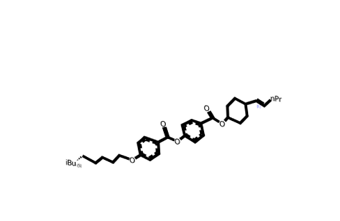 CCC/C=C/C1CCC(OC(=O)c2ccc(OC(=O)c3ccc(OCCCCC[C@@H](C)CC)cc3)cc2)CC1